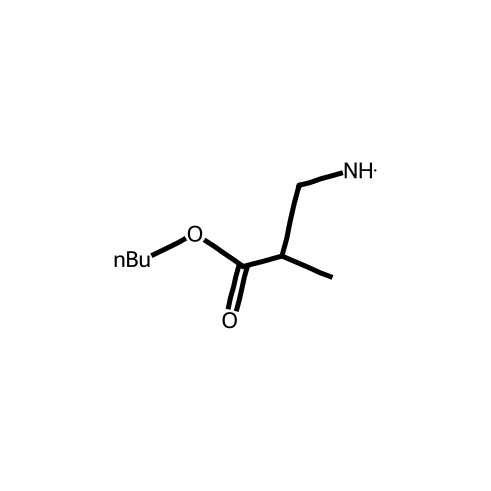 CCCCOC(=O)C(C)C[NH]